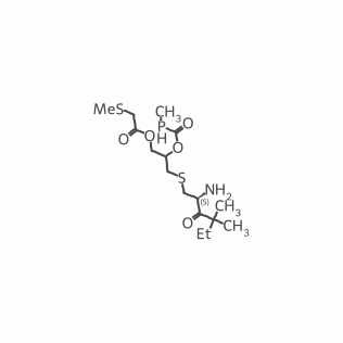 CCC(C)(C)C(=O)[C@H](N)CSCC(COC(=O)CSC)OC(=O)PC